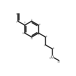 C=Cc1ccc(CCCOC)cc1